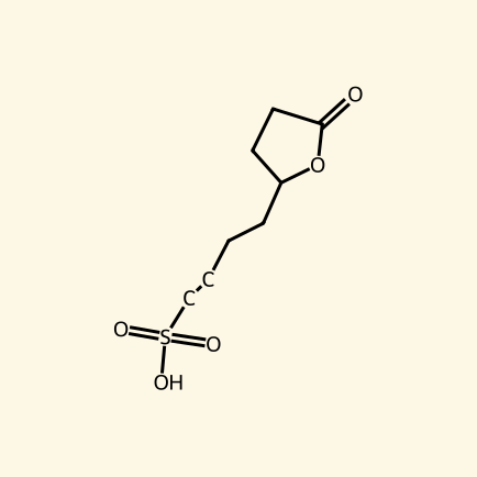 O=C1CCC(CCCCS(=O)(=O)O)O1